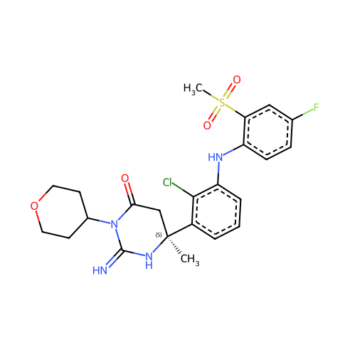 C[C@@]1(c2cccc(Nc3ccc(F)cc3S(C)(=O)=O)c2Cl)CC(=O)N(C2CCOCC2)C(=N)N1